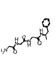 CC(Cc1ccccc1)NC(=O)CNC(=O)CNC(=O)CN